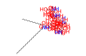 CCCCCCCCCCCCC/C=C/[C@@H](O)[C@H](CO[C@@H]1OC(CO)[C@@H](O[C@@H]2OC(CO)[C@H](O[C@@H]3OC(CO)[C@H](O)[C@H](O)C3NC(C)=O)[C@H](O[C@]3(C(=O)O)CC(O)[C@@H](NC(C)=O)C([C@H](O)[C@@H](CO)O[C@]4(C(=O)O)CC(O)[C@@H](NC(C)=O)C([C@H](O)[C@@H](CO)O[C@]5(C(=O)O)CC(O)[C@@H](NC(C)=O)C([C@H](O)[C@H](O)CO)O5)O4)O3)C2O)[C@H](O)C1O)NC(=O)CCCCCCCCCCCCCCCCCCCCCCCCC